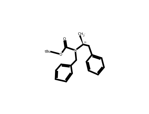 [CH2][C@@H](Cc1ccccc1)N(Cc1ccccc1)C(=O)OC(C)(C)C